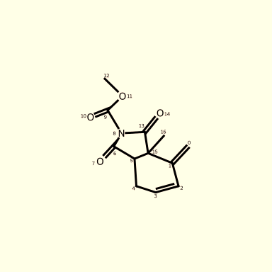 C=C1C=CCC2C(=O)N(C(=O)OC)C(=O)C12C